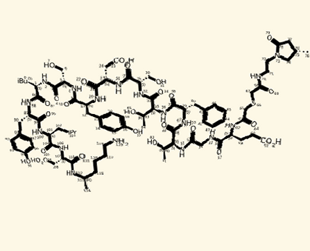 CC[C@H](C)[C@H](NC(=O)[C@H](CO)NC(=O)[C@H](Cc1ccc(O)cc1)NC(=O)[C@H](CC(=O)O)NC(=O)[C@H](CO)NC(=O)[C@@H](NC(=O)[C@H](Cc1ccccc1)NC(=O)[C@@H](NC(=O)CNC(=O)[C@H](CCC(=O)O)NC(=O)CSCC(=O)NCCN1C[C@@H](C)CC1=O)[C@@H](C)O)[C@@H](C)O)C(=O)N[C@@H](Cc1ccc(O)cc1)C(=O)N[C@@H](CC(C)C)C(=O)N[C@@H](CC(=O)O)C(=O)N[C@H](C)CCCCN